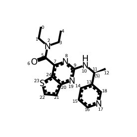 CCN(CC)C(=O)c1nc(N[C@@H](C)c2cccnc2)nc2ccsc12